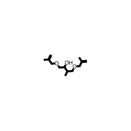 C=C(C)COCC(C)C(O)COCC(=C)C